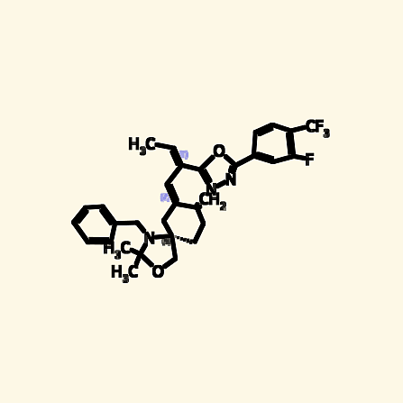 C=C1CC[C@@]2(COC(C)(C)N2Cc2ccccc2)C/C1=C/C(=C\C)c1nnc(-c2ccc(C(F)(F)F)c(F)c2)o1